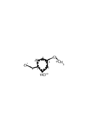 COc1ccc(CCl)nc1.Cl